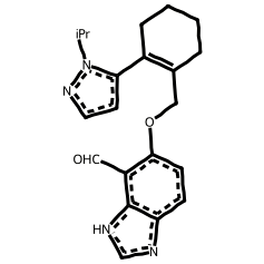 CC(C)n1nccc1C1=C(COc2ccc3nc[nH]c3c2C=O)CCCC1